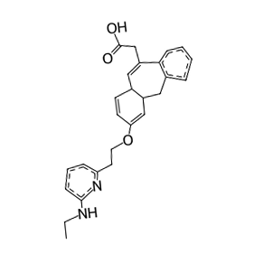 CCNc1cccc(CCOC2=CC3Cc4ccccc4C(CC(=O)O)=CC3C=C2)n1